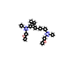 c1ccc(-c2nc(-c3cccc(-c4ccc(-c5ccc6c(c5)C5(c7ccc(-c8nc(-c9ccccc9)nc(-c9ccc%10c(c9)oc9ccccc9%10)n8)cc7-6)C6CCC7CCC(C6)CC75)cc4)c3)nc(-c3ccc4c(c3)oc3ccccc34)n2)cc1